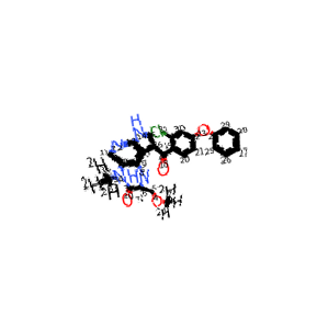 [2H]C([2H])([2H])OC[C@]1(C)Nc2c(cnc3[nH]cc(C(=O)c4ccc(Oc5ccccc5)cc4Cl)c23)N(C([2H])([2H])[2H])C1=O